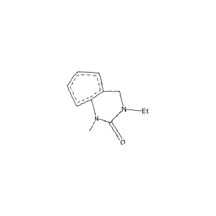 CCN1Cc2ccccc2N(C)C1=O